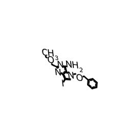 CCOCc1nc(N)c2c(n1)c(I)cn2COCc1ccccc1